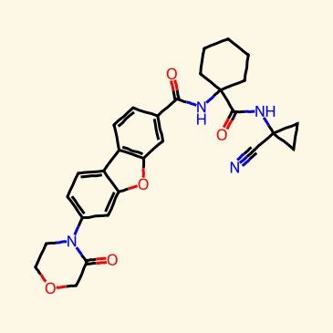 N#CC1(NC(=O)C2(NC(=O)c3ccc4c(c3)oc3cc(N5CCOCC5=O)ccc34)CCCCC2)CC1